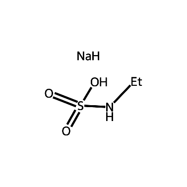 CCNS(=O)(=O)O.[NaH]